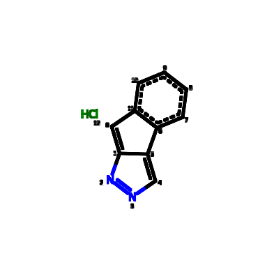 C1=C2N=NC=C2c2ccccc21.Cl